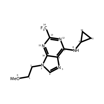 COCCn1cnc2c(NC3CC3)nc(C(F)(F)F)nc21